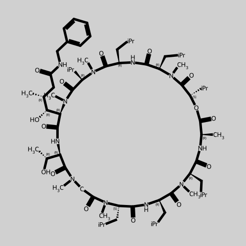 CC(C)C[C@@H]1C(=O)N[C@H](CC(C)C)C(=O)N(C)[C@H](C(C)C)C(=O)N(C)[C@H]([C@H](O)[C@H](C)CC(=O)NCc2ccccc2)C(=O)N[C@H]([C@@H](C)O)C(=O)N(C)CC(=O)N(C)[C@@H](CC(C)C)C(=O)N[C@H](CC(C)C)C(=O)N(C)[C@H](CC(C)C)C(=O)N[C@H](C)C(=O)O[C@@H](C(C)C)C(=O)N1C